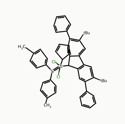 Cc1ccc([Si](c2ccc(C)cc2)=[Zr]([Cl])([Cl])([CH]2C=CC=C2)[CH]2c3cc(-c4ccccc4)c(C(C)(C)C)cc3-c3cc(C(C)(C)C)c(-c4ccccc4)cc32)cc1